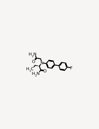 CC[C@H](C(N)=O)N(CC(N)=O)c1ccc(-c2ccc(F)cc2)cc1